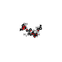 C=CCC1(C(C)CC)C(=O)NC(=O)NC1=O.CC(=O)Nc1ccc(O)cc1.COc1cccc([C@@]2(O)CCCC[C@@H]2CN(C)C)c1.NC(=O)C[S+]([O-])C(c1ccccc1)c1ccccc1.O=C1CC[C@@]2(O)[C@H]3Cc4ccc(O)c5c4[C@@]2(CCN3CC2CC2)[C@H]1O5